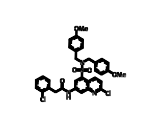 COc1ccc(CN(Cc2ccc(OC)cc2)S(=O)(=O)c2cc(NC(=O)Cc3ccccc3Cl)cc3nc(Cl)ccc23)cc1